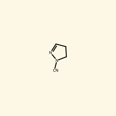 N#CN1CCC=N1